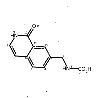 O=C(O)NCc1ccc2cc[nH]c(=O)c2c1